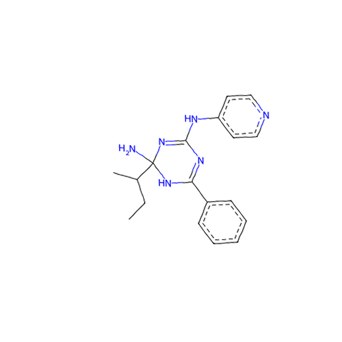 CCC(C)C1(N)N=C(Nc2ccncc2)N=C(c2ccccc2)N1